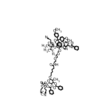 [C-]#[N+]CCOP(=O)(OCCC#N)OC[C@H]1O[C@H](OCCCCCC(=O)NCCOCCOCO[C@@H]2[C@H](OP(OCCC#N)N(C(C)C)C(C)C)[C@@H](COC(c3ccccc3)(c3ccc(OC)cc3)c3ccc(OC)cc3)O[C@H]2n2cnc3c(NC(=O)c4ccccc4)ncnc32)C(C)C(OC(=O)c2ccccc2)[C@@H]1OC(=O)c1ccccc1